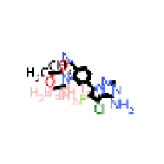 BC1(B)OC(C)(C)C(=O)N(c2cc(-c3c(F)c(Cl)c4c(N)ncnn34)ccc2C#N)C1(B)B